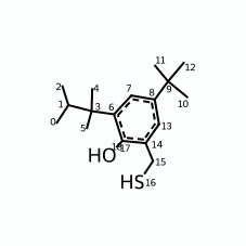 CC(C)C(C)(C)c1cc(C(C)(C)C)cc(CS)c1O